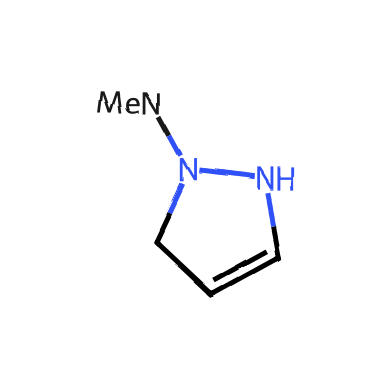 CNN1CC=CN1